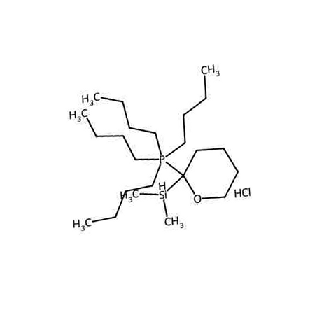 CCCCP(CCCC)(CCCC)(CCCC)C1([SiH](C)C)CCCCO1.Cl